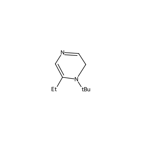 CCC1=CN=CCN1C(C)(C)C